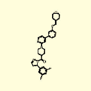 O=C(C1CCN(c2cc(-c3cccc(OCC4CCOCC4)c3)ccn2)CC1)N1N=CCC1c1cc(F)cc(F)c1